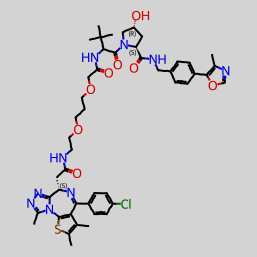 Cc1ncoc1-c1ccc(CNC(=O)[C@@H]2C[C@@H](O)CN2C(=O)C(NC(=O)COCCCOCCNC(=O)C[C@@H]2N=C(c3ccc(Cl)cc3)c3c(sc(C)c3C)-n3c(C)nnc32)C(C)(C)C)cc1